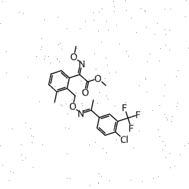 CO/N=C(/C(=O)OC)c1cccc(C)c1CO/N=C(\C)c1ccc(Cl)c(C(F)(F)F)c1